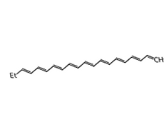 [CH]=CC=CC=CC=CC=CC=CC=CC=CC=CCC